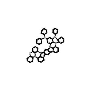 c1ccc(N(c2ccccc2)c2cc3c4c(c2)-n2c5cc6c(cc5c5cccc(c52)B4c2ccccc2N3c2ccccc2)c2cccc3c2n6-c2cccc4c2B3c2ccccc2O4)cc1